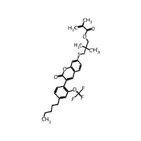 C=C(C)C(=O)OCC(C)(C)CSc1ccc2cc(-c3ccc(CCCCC)cc3OC(F)(F)F)c(=O)oc2c1